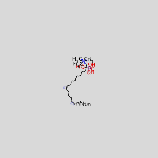 CCCCCCCCC/C=C\CCC/C=C\CCCCCCCC(O)(C[N+](C)(C)C)P(=O)(O)O